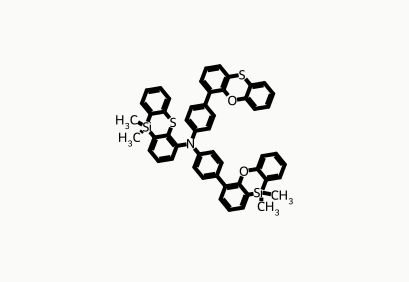 C[Si]1(C)c2ccccc2Oc2c(-c3ccc(N(c4ccc(-c5cccc6c5Oc5ccccc5S6)cc4)c4cccc5c4Sc4ccccc4[Si]5(C)C)cc3)cccc21